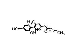 C#Cc1ccc(-c2nnc(NC(=O)CNCC)cc2C)c(O)c1